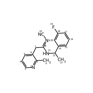 Cc1ncccc1C/C(=N\C#N)NC(C)c1cccc(F)c1